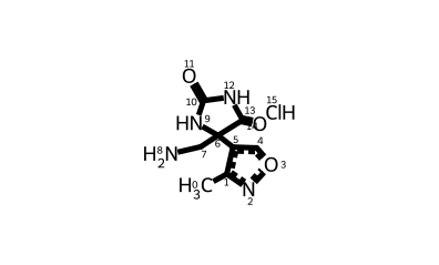 Cc1nocc1C1(CN)NC(=O)NC1=O.Cl